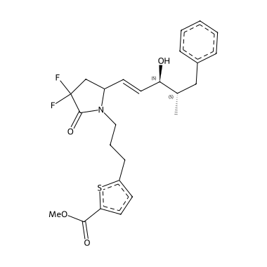 COC(=O)c1ccc(CCCN2C(=O)C(F)(F)CC2C=C[C@@H](O)[C@@H](C)Cc2ccccc2)s1